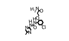 Cc1cnc(NC(=O)Nc2cc(Cl)ccc2OCCC(N)=O)cn1